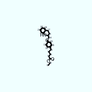 CCOC(=O)CCCCc1ccc(OCC2CCc3ccccc3N2)cc1